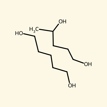 CC(O)CCCO.OCCCCCO